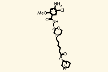 COc1cc(N)c(Cl)cc1C(=O)NC[C@H]1CN(CCCCCC(=O)OC2CN3CCC2CC3)CCO1